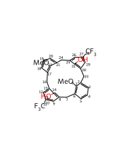 COc1c2cccc1Cc1cc(C(F)(F)F)cc(c1O)Cc1cccc(c1OC)Cc1cc(C(F)(F)F)cc(c1O)C2